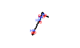 C=CCOC(=O)N1CCCC1c1nc(CNC(=O)CCCCCCCCNC(=O)OC(C)(C)C)no1